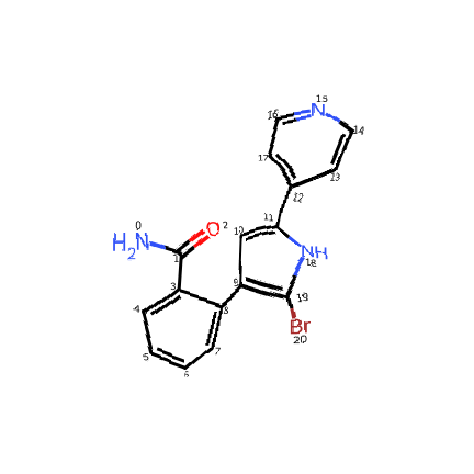 NC(=O)c1ccccc1-c1cc(-c2ccncc2)[nH]c1Br